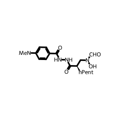 CCCCC[C@H](CN(O)C=O)C(=O)NNC(=O)c1ccc(NC)cc1